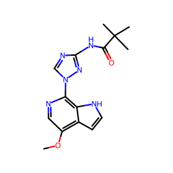 COc1cnc(-n2cnc(NC(=O)C(C)(C)C)n2)c2[nH]ccc12